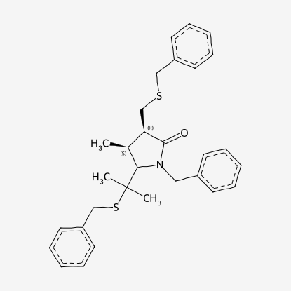 C[C@@H]1C(C(C)(C)SCc2ccccc2)N(Cc2ccccc2)C(=O)[C@@H]1CSCc1ccccc1